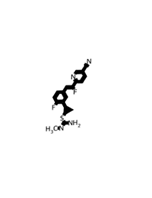 C/N=C(/N)SC1CC1c1cc(/C=C(\F)c2ccc(C#N)cn2)ccc1F